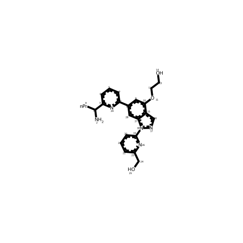 CCCC(N)c1cccc(-c2cc(OCCO)c3cnn(-c4cccc(CO)n4)c3c2)n1